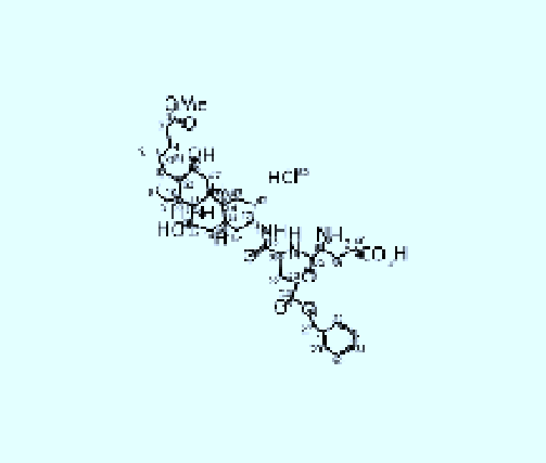 COC(=O)CC[C@@H](C)[C@H]1CC[C@H]2[C@@H]3[C@H](O)C[C@@H]4C[C@@H](NC(=O)[C@H](CCC(=O)OCc5ccccc5)NC(=O)[C@@H](N)CCC(=O)O)CC[C@]4(C)[C@H]3C[C@H](O)[C@]12C.Cl